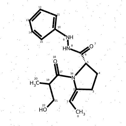 C/C=C1\CC[C@@H](C(=O)NNc2ccccc2)N1C(=O)C(C)CO